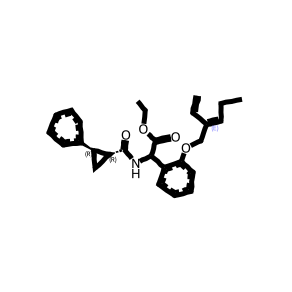 C=C/C(=C\CC)COc1ccccc1C(NC(=O)[C@@H]1C[C@H]1c1ccccc1)C(=O)OCC